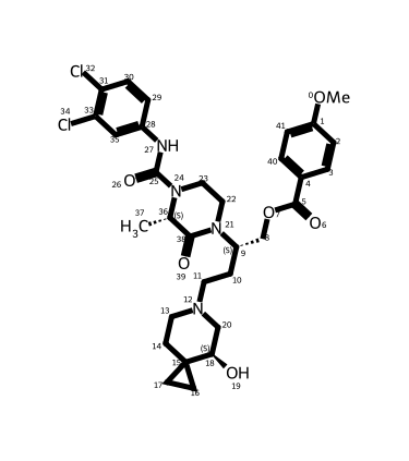 COc1ccc(C(=O)OC[C@H](CCN2CCC3(CC3)[C@H](O)C2)N2CCN(C(=O)Nc3ccc(Cl)c(Cl)c3)[C@@H](C)C2=O)cc1